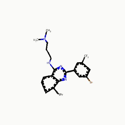 CC(C)c1cccc2c(NCCCN(C)C)nc(-c3cc(Br)cc(C(F)(F)F)c3)nc12